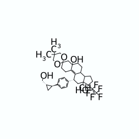 CC1(C)COC2(CCC3=C4C(CCC3(O)C2)C2CCC(O)(C(F)(F)C(F)(F)F)C2(C)C[C@@H]4c2ccc([C@H]3C[C@@H]3CO)cc2)OC1